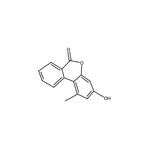 Cc1cc(O)cc2oc(=O)c3ccccc3c12